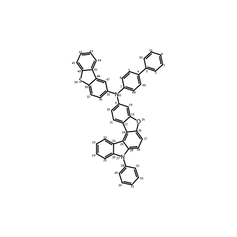 c1ccc(-c2ccc(N(c3ccc4c(c3)oc3ccc5c(c6ccccc6n5-c5ccccc5)c34)c3ccc4sc5ccccc5c4c3)cc2)cc1